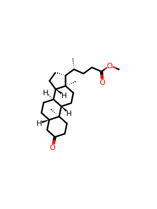 COC(=O)CC[C@@H](C)[C@H]1CC[C@H]2[C@@H]3CC[C@H]4CC(=O)CC[C@]4(C)[C@H]3CC[C@]12C